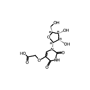 O=C(O)COc1cn([C@@H]2O[C@H](CO)[C@H](O)[C@@H]2O)c(=O)[nH]c1=O